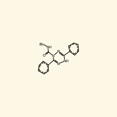 CCC(C)NC(=O)N1N=C(c2ccccc2)NN=C1c1ccccc1